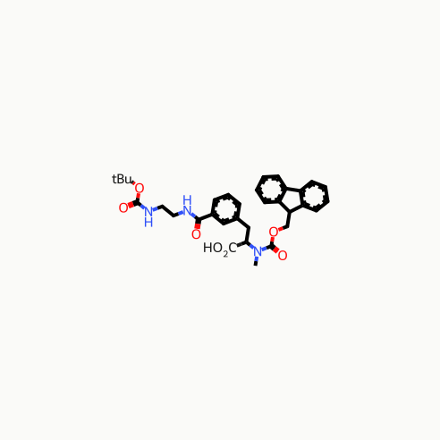 CN(C(=O)OCC1c2ccccc2-c2ccccc21)C(Cc1cccc(C(=O)NCCNC(=O)OC(C)(C)C)c1)C(=O)O